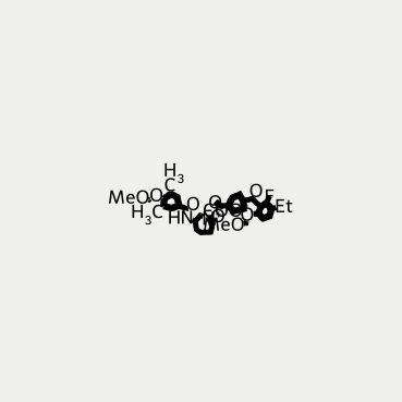 CCc1ccc(OCOC)c(C(=O)c2ccc(C(=O)O[N+]3(C(=O)[O-])CCCCC(NC(=O)c4cc(C)c(OCOC)c(C)c4)C3)cc2)c1F